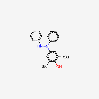 CC(C)(C)c1cc(N(Nc2ccccc2)c2ccccc2)cc(C(C)(C)C)c1O